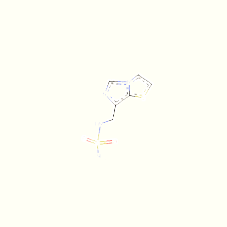 NS(=O)(=O)NCc1ncn2ccsc12